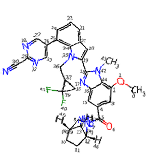 COc1cc(C(=O)N2C[C@H]3CC[C@@H]2[C@@H]3N)cc2nc(-c3cc4cccc(-c5cnc(C#N)nc5)c4n3CC3CC3(F)F)n(C)c12